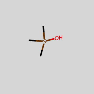 CS(C)(C)O